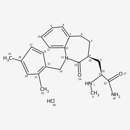 CN[C@@H](C[C@@H]1CCc2ccccc2N(Cc2ccc(C)cc2C)C1=O)C(N)=O.Cl